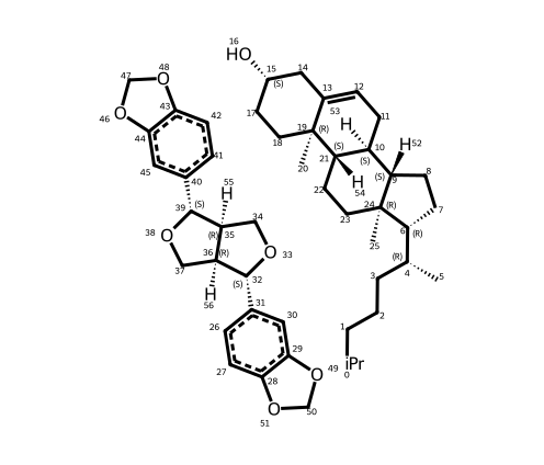 CC(C)CCC[C@@H](C)[C@H]1CC[C@H]2[C@@H]3CC=C4C[C@@H](O)CC[C@]4(C)[C@H]3CC[C@]12C.c1cc2c(cc1[C@H]1OC[C@H]3[C@@H]1CO[C@@H]3c1ccc3c(c1)OCO3)OCO2